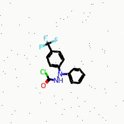 O=C(Cl)NN(c1ccccc1)c1ccc(C(F)(F)F)cc1